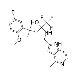 COc1ccc(F)cc1C(C)(C)CC(O)(NCc1cc2c(C)nccc2[nH]1)C(F)(F)F